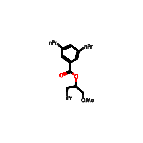 CCCc1cc(CCC)cc(C(=O)OC(COC)CC(C)C)c1